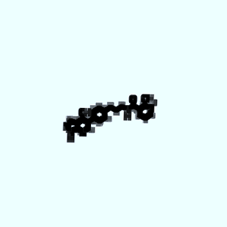 Cc1ncccc1C(=O)NCCCc1ccc(-c2cnc3[nH]ncc3c2C)cc1